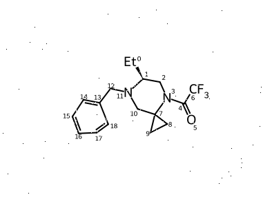 CC[C@H]1CN(C(=O)C(F)(F)F)C2(CC2)CN1Cc1ccccc1